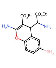 Bc1ccc2c(c1)C(C(N)C(=O)OCC)C(C(=O)OCC)=C(N)O2